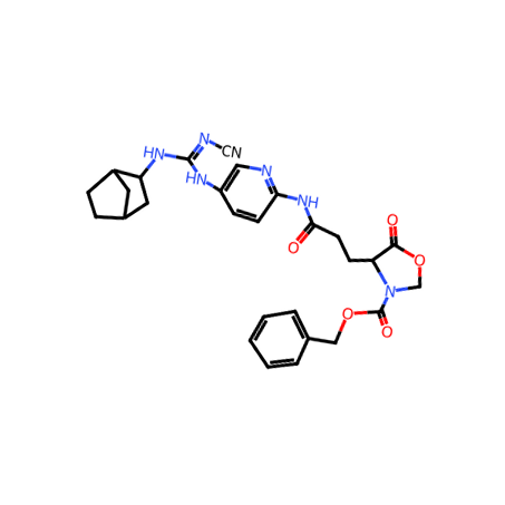 N#CN=C(Nc1ccc(NC(=O)CCC2C(=O)OCN2C(=O)OCc2ccccc2)nc1)NC1CC2CCC1C2